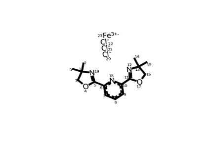 CC1(C)COC(c2cccc(C3=NC(C)(C)CO3)n2)=N1.[Cl-].[Cl-].[Cl-].[Fe+3]